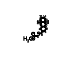 COC(=O)CSCC1CCC2C[C@@H]3CC=CC[C@@H]3CC2C1